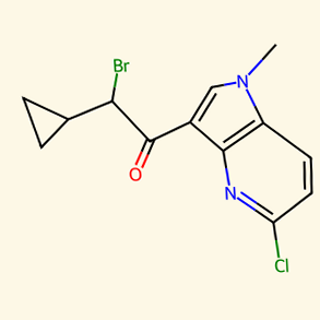 Cn1cc(C(=O)C(Br)C2CC2)c2nc(Cl)ccc21